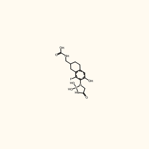 O=C(O)NCC1CCc2cc(O)c(N3CC(=O)NS3(O)O)c(F)c2C1